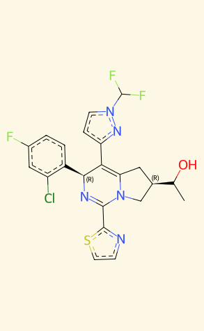 CC(O)[C@@H]1CC2=C(c3ccn(C(F)F)n3)[C@H](c3ccc(F)cc3Cl)N=C(c3nccs3)N2C1